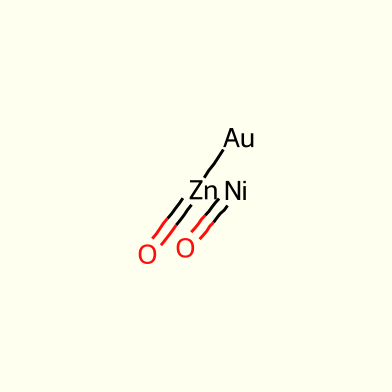 [O]=[Ni].[O]=[Zn][Au]